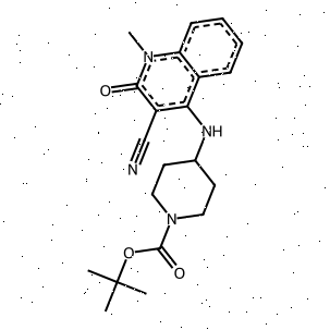 Cn1c(=O)c(C#N)c(NC2CCN(C(=O)OC(C)(C)C)CC2)c2ccccc21